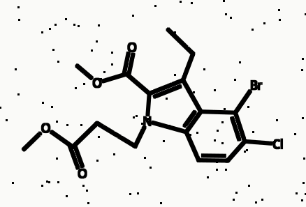 CCc1c(C(=O)OC)n(CCC(=O)OC)c2ccc(Cl)c(Br)c12